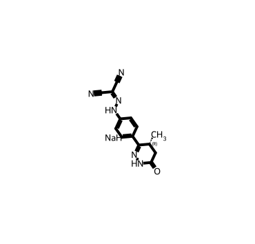 C[C@@H]1CC(=O)NN=C1c1ccc(NN=C(C#N)C#N)cc1.[NaH]